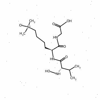 CC(C)[C@H](NO)C(=O)N[C@@H](CCCC[N+](C)(C)[O-])C(=O)NCC(=O)O